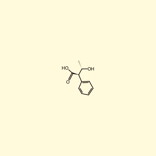 C[C@H](O)[C@H](C(=O)O)c1ccccc1